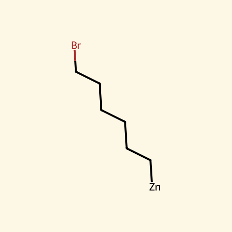 [Zn][CH2]CCCCCBr